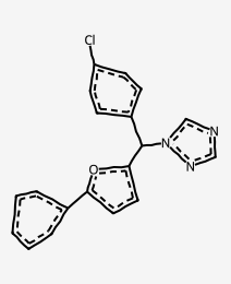 Clc1ccc(C(c2ccc(-c3ccccc3)o2)n2cncn2)cc1